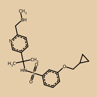 CBCc1ccc(C(C)(C)NS(=O)(=O)c2cccc(OCC3CC3)c2)cn1